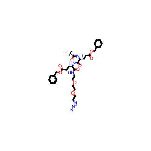 CC(=O)N[C@@H](CCC(=O)OCc1ccccc1)C(=O)N[C@H](CCC(=O)OCc1ccccc1)C(=O)NCCOCCOCCN=[N+]=[N-]